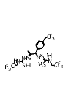 CC(=N\N=C(/S)NCC(F)(F)F)/C(=N/N=C(\S)NCC(F)(F)F)c1ccc(CC(F)(F)F)cc1